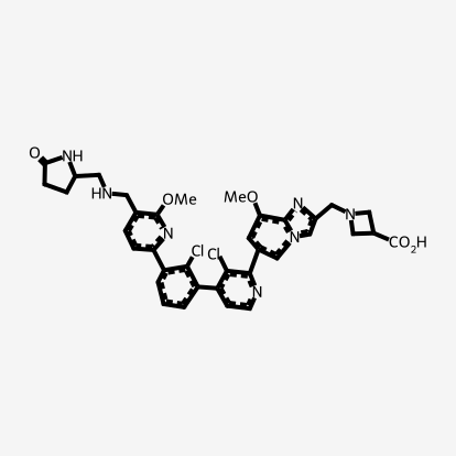 COc1nc(-c2cccc(-c3ccnc(-c4cc(OC)c5nc(CN6CC(C(=O)O)C6)cn5c4)c3Cl)c2Cl)ccc1CNCC1CCC(=O)N1